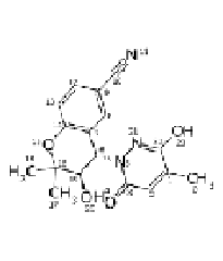 Cc1cc(=O)n([C@H]2c3cc(C#N)ccc3OC(C)(C)[C@@H]2O)nc1O